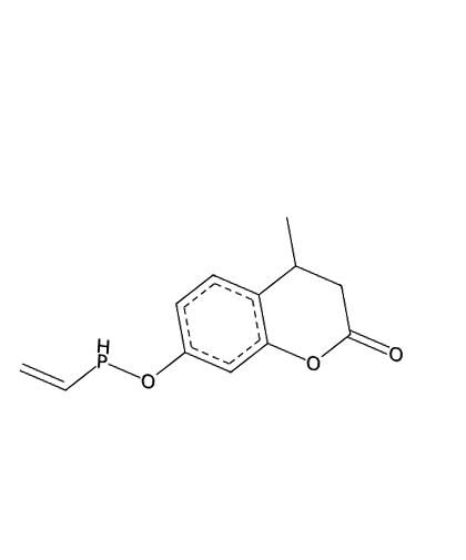 C=CPOc1ccc2c(c1)OC(=O)CC2C